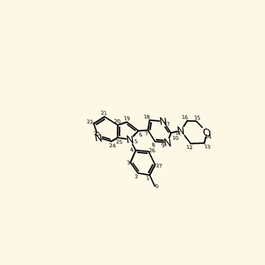 Cc1ccc(-n2c(-c3cnc(N4CCOCC4)nc3)cc3ccncc32)cc1